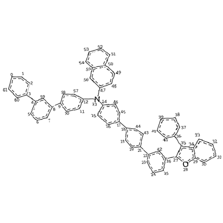 c1ccc(-c2cccc(-c3ccc(N(c4ccc(-c5ccc(-c6cccc(-c7oc8ccccc8c7-c7ccccc7)c6)cc5)cc4)c4ccc5ccccc5c4)cc3)c2)cc1